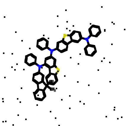 CC1(C)c2ccccc2-c2ccc(N(c3ccccc3)c3cc(N(c4ccccc4)c4ccc5c(c4)sc4ccc(N(c6ccccc6)c6ccccc6)cc45)cc4sc5ccccc5c34)cc21